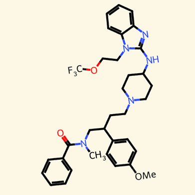 COc1ccc(C(CCN2CCC(Nc3nc4ccccc4n3CCOC(F)(F)F)CC2)CN(C)C(=O)c2ccccc2)cc1